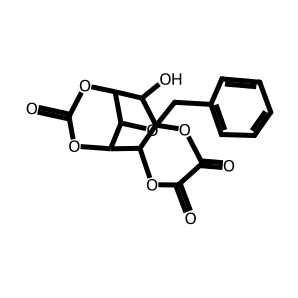 O=C1OC2C(O)C3OC(=O)C(=O)OC3C(O1)C2OCc1ccccc1